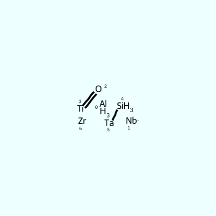 [AlH3].[Nb].[O]=[Ti].[SiH3][Ta].[Zr]